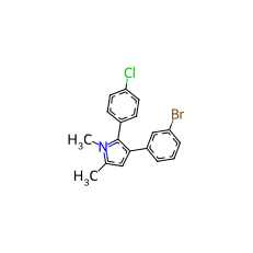 Cc1cc(-c2cccc(Br)c2)c(-c2ccc(Cl)cc2)n1C